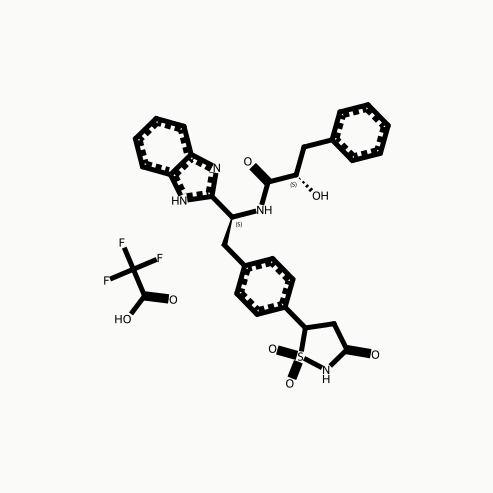 O=C(O)C(F)(F)F.O=C1CC(c2ccc(C[C@H](NC(=O)[C@@H](O)Cc3ccccc3)c3nc4ccccc4[nH]3)cc2)S(=O)(=O)N1